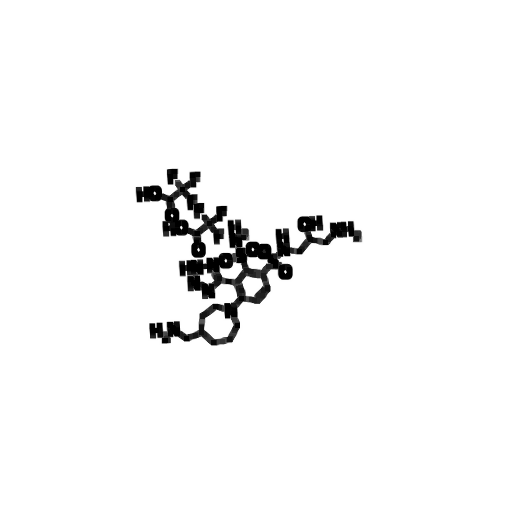 NCC(O)CNS(=O)(=O)c1ccc(N2CCCC(CN)CC2)c(-c2nn[nH]n2)c1S(N)(=O)=O.O=C(O)C(F)(F)F.O=C(O)C(F)(F)F